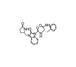 NC(=O)[C@H](Cc1ccccc1)NC(=O)n1c(=O)n(CC2CCC(=O)N2)c2ccccc21